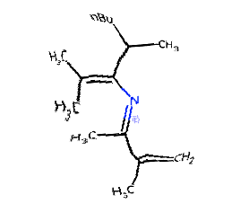 C=C(C)/C(C)=N/C(=C(C)C)C(C)CCCC